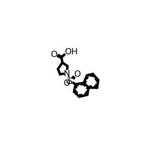 O=C(O)C1CCN(S(=O)(=O)c2cccc3ccccc23)C1